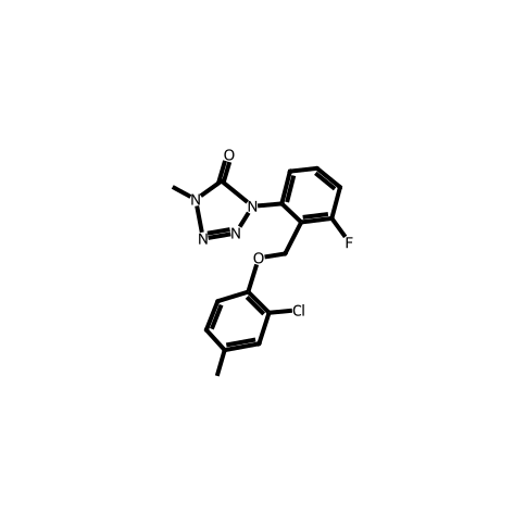 Cc1ccc(OCc2c(F)cccc2-n2nnn(C)c2=O)c(Cl)c1